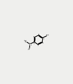 Fc1ccc(P(F)F)cc1